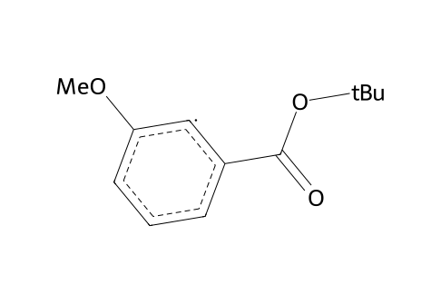 COc1[c]c(C(=O)OC(C)(C)C)ccc1